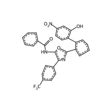 O=C(Nc1oc(-c2ccccc2-c2ccc([N+](=O)[O-])cc2O)nc1-c1ccc(C(F)(F)F)cc1)c1ccccc1